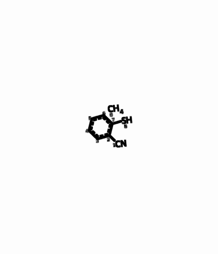 C.N#Cc1ccccc1S